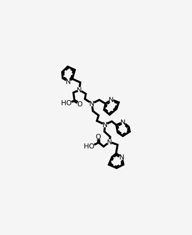 O=C(O)CN(CCN(CCCN(CCN(CC(=O)O)Cc1ccccn1)Cc1ccccn1)Cc1ccccn1)Cc1ccccn1